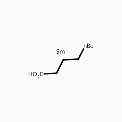 CCCCCCCC(=O)O.[Sm]